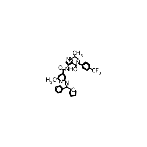 Cc1cc(C(=O)Nc2cnn3c2C(=O)N(c2ccc(C(F)(F)F)cc2)C[C@@H]3C)cc(N=C(c2ccccc2)c2ccccc2)n1